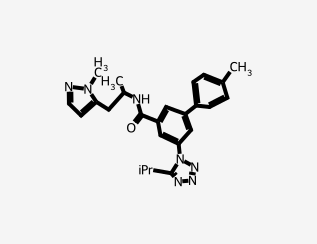 Cc1ccc(-c2cc(C(=O)NC(C)Cc3ccnn3C)cc(-n3nnnc3C(C)C)c2)cc1